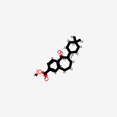 COC(=O)c1ccc2c(c1)CCCC(C1CCC(C)(C)CC1)C2=O